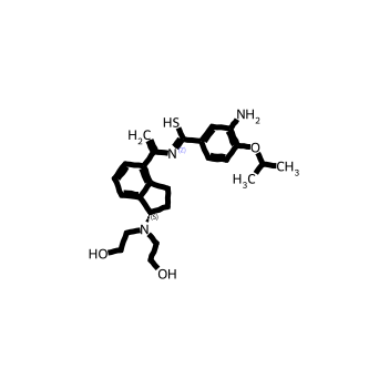 C=C(/N=C(\S)c1ccc(OC(C)C)c(N)c1)c1cccc2c1CC[C@@H]2N(CCO)CCO